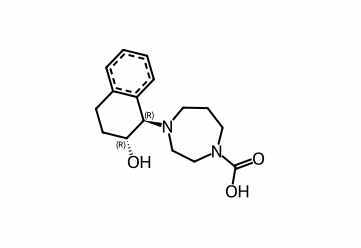 O=C(O)N1CCCN([C@@H]2c3ccccc3CC[C@H]2O)CC1